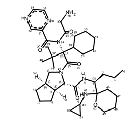 CCC[C@H](NC(=O)[C@@H]1[C@H]2CCC[C@H]2CN1C(=O)[C@@](C1CCCCC1)(N(C(=O)CN)C(=O)c1cnccn1)C(C)(C)C)C1(NC2CC2)CCCCO1